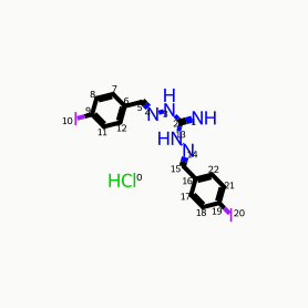 Cl.N=C(NN=Cc1ccc(I)cc1)NN=Cc1ccc(I)cc1